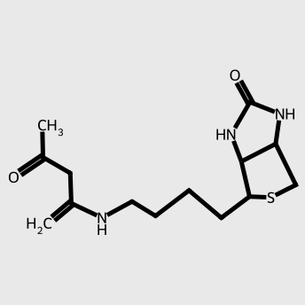 C=C(CC(C)=O)NCCCCC1SCC2NC(=O)NC21